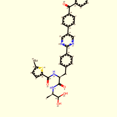 C[C@@H](NC(=O)[C@H](Cc1ccc(-c2ncc(-c3ccc(C(=O)c4ccccc4)cc3)cn2)cc1)NC(=O)c1ccc(C(C)(C)C)s1)C(O)O